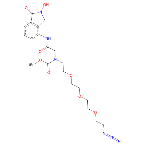 CC(C)(C)OC(=O)N(CCOCCOCCOCCN=[N+]=[N-])CC(=O)Nc1cccc2c1CN(O)C2=O